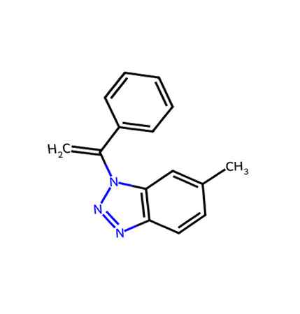 C=C(c1ccccc1)n1nnc2ccc(C)cc21